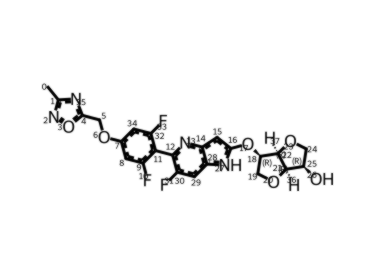 Cc1noc(COc2cc(F)c(-c3nc4cc(O[C@@H]5CO[C@H]6[C@@H]5OC[C@H]6O)[nH]c4cc3F)c(F)c2)n1